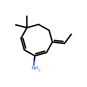 C/C=C1/C=C(N)\C=C/C(C)(C)CC1